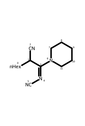 CCCCCCC(C#N)C(=NC#N)N1CCCCC1